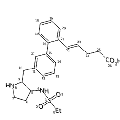 CCS(=O)(=O)NC1CCNC1Cc1cccc(-c2ccccc2/C=C/CCC(=O)O)c1